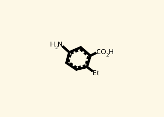 CCc1ccc(N)cc1C(=O)O